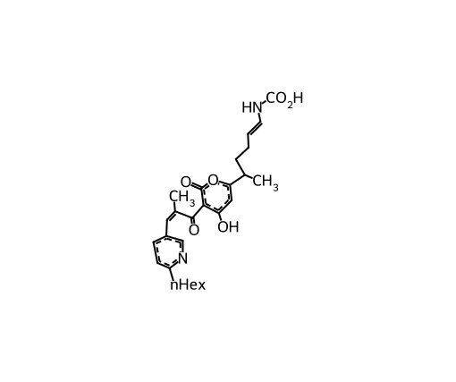 CCCCCCc1ccc(C=C(C)C(=O)c2c(O)cc(C(C)CCC=CNC(=O)O)oc2=O)cn1